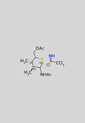 CC(=O)NC1[C@@H](C)[C@H](C)C(COC(C)=O)S[C@@H]1OC(=N)C(Cl)(Cl)Cl